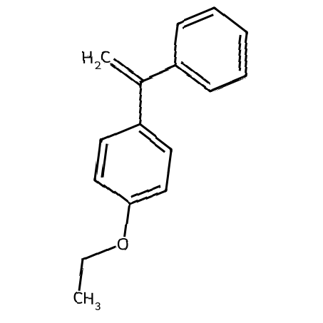 C=C(c1ccccc1)c1ccc(OCC)cc1